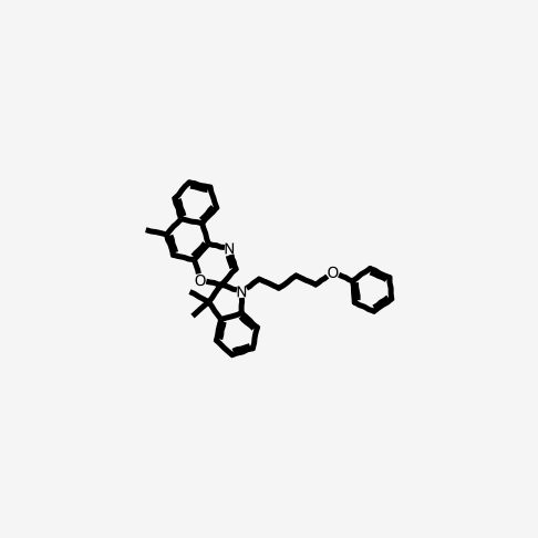 Cc1cc2c(c3ccccc13)N=CC1(O2)N(CCCCOc2ccccc2)c2ccccc2C1(C)C